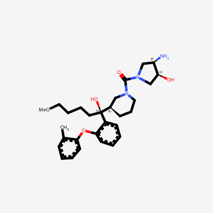 COCCCC[C@@](O)(c1ccccc1Oc1ccccc1C)[C@@H]1CCCN(C(=O)N2C[C@@H](N)[C@@H](O)C2)C1